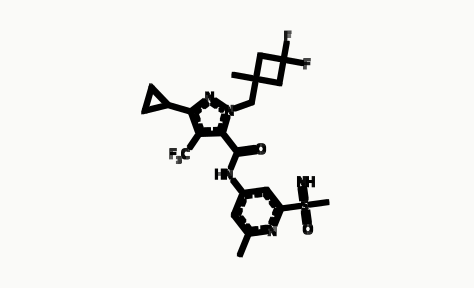 Cc1cc(NC(=O)c2c(C(F)(F)F)c(C3CC3)nn2CC2(C)CC(F)(F)C2)cc(S(C)(=N)=O)n1